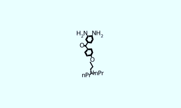 CCCN(CCC)CCCOc1ccc(C(=O)c2ccc(N)c(N)c2)cc1